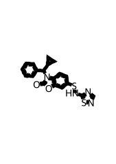 O=c1oc2cc(SNc3ncns3)ccc2n1C(c1ccccc1)C1CC1